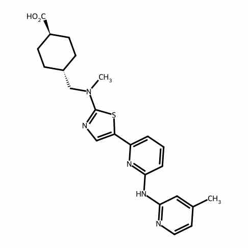 Cc1ccnc(Nc2cccc(-c3cnc(N(C)C[C@H]4CC[C@H](C(=O)O)CC4)s3)n2)c1